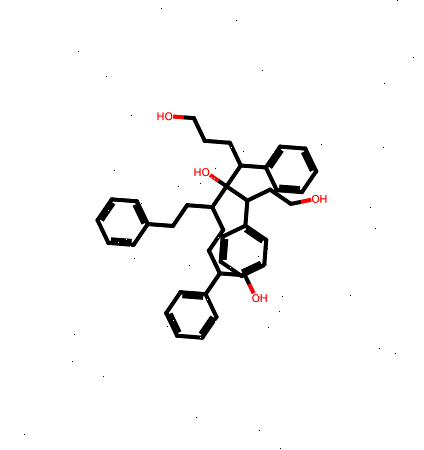 OCCCC(c1ccccc1)C(O)(C(CCc1ccccc1)CCC(CO)c1ccccc1)C(CCO)c1ccccc1